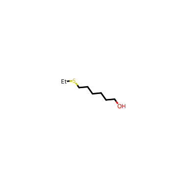 CCSCCCCCCO